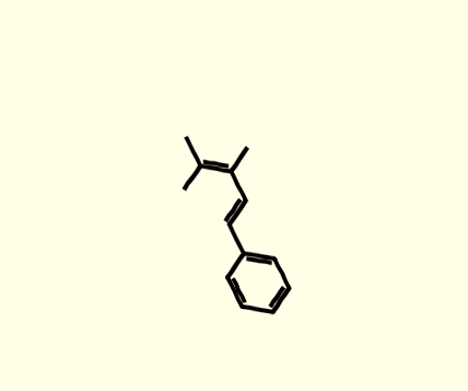 CC(C)=C(C)C=Cc1ccccc1